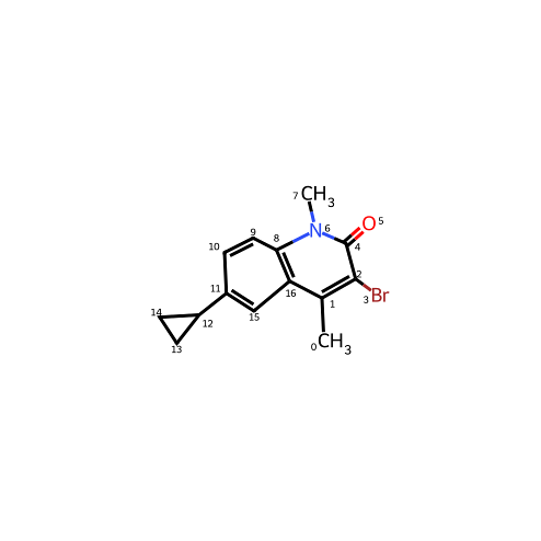 Cc1c(Br)c(=O)n(C)c2ccc(C3CC3)cc12